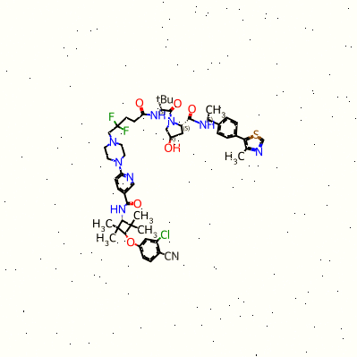 Cc1ncsc1-c1ccc([C@H](C)NC(=O)[C@@H]2C[C@@H](O)CN2C(=O)[C@@H](NC(=O)CCC(F)(F)CN2CCN(c3ccc(C(=O)N[C@H]4C(C)(C)[C@H](Oc5ccc(C#N)c(Cl)c5)C4(C)C)cn3)CC2)C(C)(C)C)cc1